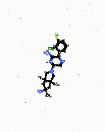 C[C@]1(N)C[C@H]2CN(c3cnc(-c4cccc(F)c4Cl)c(N)n3)C[C@H]2C1